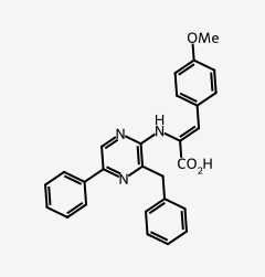 COc1ccc(/C=C(\Nc2ncc(-c3ccccc3)nc2Cc2ccccc2)C(=O)O)cc1